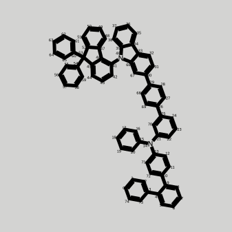 c1ccc(-c2ccccc2-c2ccc(N(c3ccccc3)c3cccc(-c4ccc(-c5ccc6c7ccccc7n(-c7cccc8c7-c7ccccc7C8(c7ccccc7)c7ccccc7)c6c5)cc4)c3)cc2)cc1